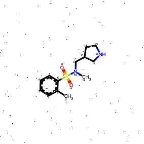 Cc1ccccc1S(=O)(=O)N(C)CC1CCNC1